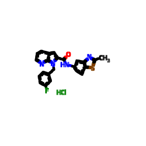 Cc1nc2cc(NC(=O)c3cc4cccnc4n3Cc3cccc(F)c3)ccc2s1.Cl